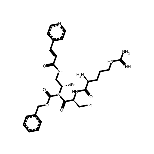 CC(C)C[C@H](NC(=O)[C@@H](N)CCCNC(=N)N)C(=O)N(C(=O)OCc1ccccc1)[C@H](CNC(=O)/C=C/c1ccncc1)C(C)C